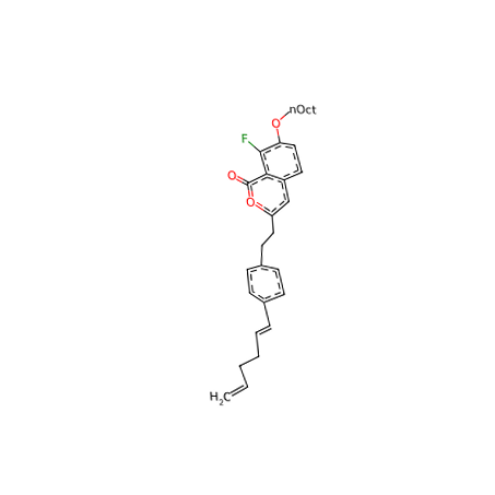 C=CCC/C=C/c1ccc(CCc2cc3ccc(OCCCCCCCC)c(F)c3c(=O)o2)cc1